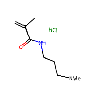 C=C(C)C(=O)NCCCNC.Cl